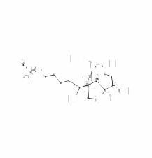 CN(C)C[C@]12OC[C@@H](O)[C@H]1OC[C@]2(O)C(O)CCCCO[N+](=O)[O-]